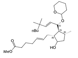 CCCCC(C)(C)C=C[C@H](OC1CCCCO1)[C@H]1[C@H](C)CC(O)[C@@H]1CC=CCCCC(=O)OC